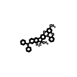 Cc1cc2c3c(c1)Oc1cc4c(cc1B3c1ccccc1O2)C(C)(C)c1cc2cc(N(c3ccccc3)c3ccccc3)ccc2cc1-4